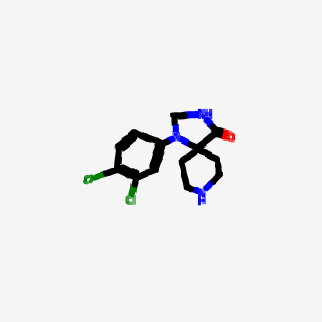 O=C1NCN(c2ccc(Cl)c(Cl)c2)C12CCNCC2